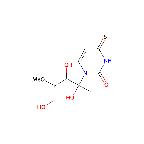 COC(CO)C(O)C(C)(O)n1ccc(=S)[nH]c1=O